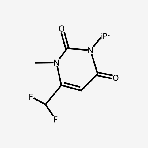 CC(C)n1c(=O)cc(C(F)F)n(C)c1=O